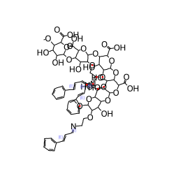 COC1OC(C(=O)O)C(OC2OC(C(=O)O)C(OC3OC(C(=O)O)C(OC4OC(C(=O)O)C(OC5OC(C(=O)O)C(OC)C(O)C5O)C(O)C4OCC/N=C/C=C/c4ccccc4)C(O)C3OCC/N=C/C=C/c3ccccc3)C(O)C2O)C(O)C1OCC/N=C/C=C/c1ccccc1